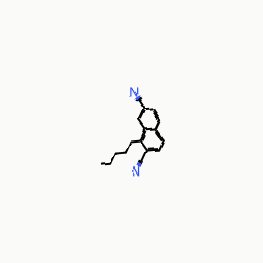 CCCCCc1c(C#N)ccc2ccc(C#N)cc12